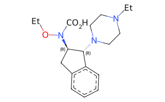 CCON(C(=O)O)[C@@H]1Cc2ccccc2[C@H]1N1CCN(CC)CC1